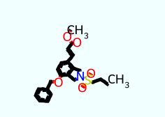 CCCCS(=O)(=O)N1Cc2c(/C=C/C(=O)OC)ccc(OCc3ccccc3)c2C1